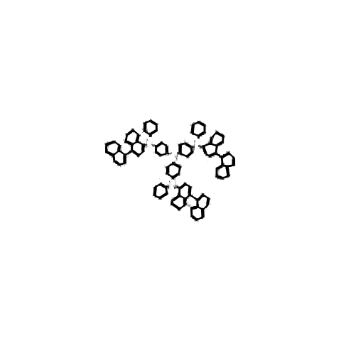 c1ccc(N(c2ccc(N(c3ccc(N(c4ccccc4)c4ccc(-c5cccc6ccccc56)c5ccccc45)cc3)c3ccc(N(c4ccccc4)c4ccc(-c5cccc6ccccc56)c5ccccc45)cc3)cc2)c2ccc(-c3cccc4ccccc34)c3ccccc23)cc1